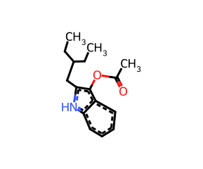 CCC(CC)Cc1[nH]c2ccccc2c1OC(C)=O